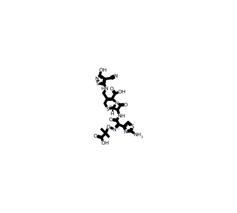 CC(C)(O/N=C(\C(=O)NC1C(=O)N2C(C(=O)O)=C(CNc3snc(O)c3C#N)CS[C@@H]12)c1csc(N)n1)C(=O)O